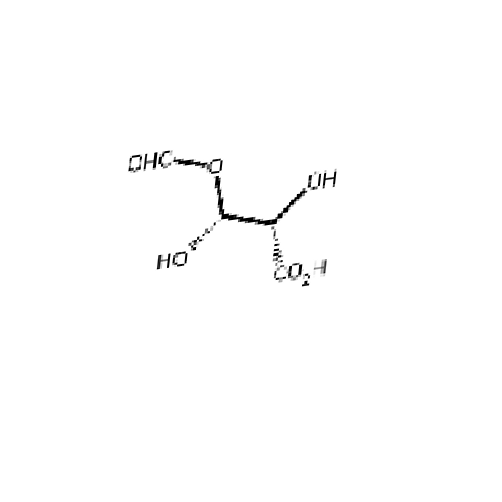 O=CO[C@@H](O)[C@H](O)C(=O)O